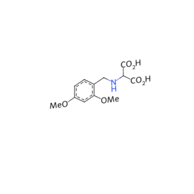 COc1ccc(CNC(C(=O)O)C(=O)O)c(OC)c1